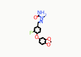 CN(N=Cc1ccc(Oc2ccc3c(c2)OCO3)c(F)c1)C(N)=O